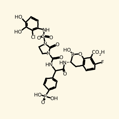 O=C(O)c1c(F)ccc2c1OB(O)[C@@H](NC(=O)C(NC(=O)N1CCN(S(=O)(=O)Nc3ccc(O)c(O)c3Cl)C1=O)c1ccc(P(=O)(O)O)cc1)C2